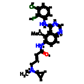 COc1c(NC(=O)/C=C/CN(C)C2CC2)ccc2ncnc(Nc3cccc(Cl)c3F)c12